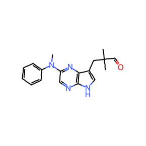 CN(c1ccccc1)c1cnc2[nH]cc(CC(C)(C)C=O)c2n1